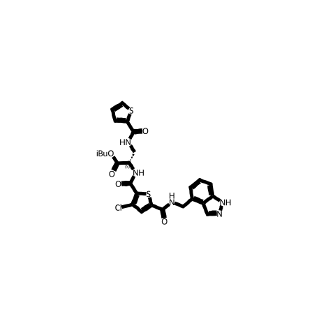 CC(C)COC(=O)[C@H](CNC(=O)c1cccs1)NC(=O)c1sc(C(=O)NCc2cccc3[nH]ncc23)cc1Cl